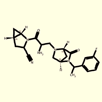 CC(c1cccc(F)c1)N1C(=O)[C@@H]2C[C@@H]1CN2CC(N)C(=O)N1C(C#N)C[C@@H]2C[C@@H]21